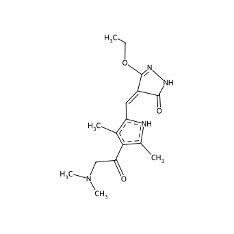 CCOC1=NNC(=O)C1=Cc1[nH]c(C)c(C(=O)CN(C)C)c1C